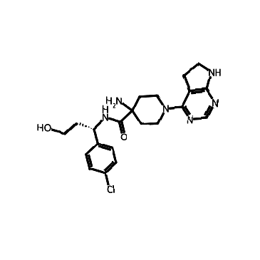 NC1(C(=O)N[C@@H](CCO)c2ccc(Cl)cc2)CCN(c2ncnc3c2CCN3)CC1